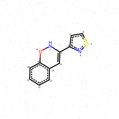 C1=C(c2ccsn2)NOc2ccccc21